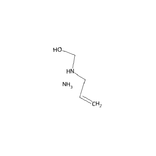 C=CCNCO.N